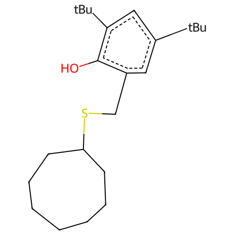 CC(C)(C)c1cc(CSC2CCCCCCC2)c(O)c(C(C)(C)C)c1